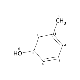 CC1=CC=CC(O)C1